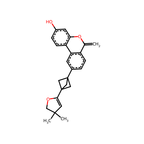 C=C1Oc2cc(O)ccc2-c2cc(C34CC(C5=CC(C)(C)CO5)(C3)C4)ccc21